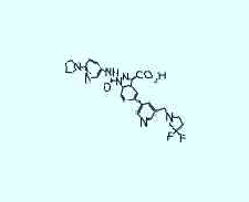 O=C(O)c1nn(C(=O)Nc2ccc(N3CCCC3)nc2)c2ccc(-c3cncc(CN4CCC(F)(F)C4)c3)cc12